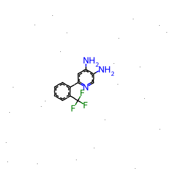 Nc1cnc(-c2ccccc2C(F)(F)F)cc1N